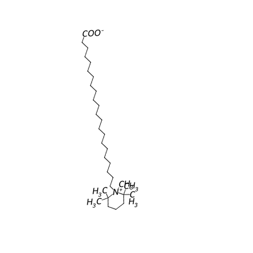 CC1(C)CCCC(C)(C)[N+]1(C)CCCCCCCCCCCCCCCCCCCCCC(=O)[O-]